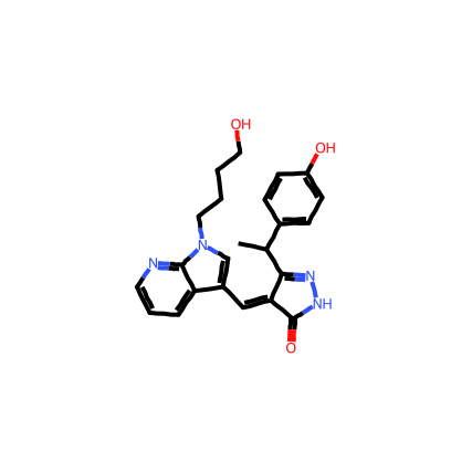 CC(C1=NNC(=O)/C1=C/c1cn(CCCCO)c2ncccc12)c1ccc(O)cc1